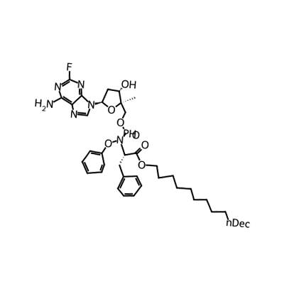 CCCCCCCCCCCCCCCCCCCOC(=O)[C@H](Cc1ccccc1)N(Oc1ccccc1)[PH](=O)OC[C@@]1(C)O[C@@H](n2cnc3c(N)nc(F)nc32)C[C@@H]1O